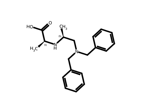 C[C@H](N[C@@H](C)CN(Cc1ccccc1)Cc1ccccc1)C(=O)O